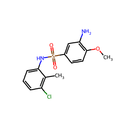 COc1ccc(S(=O)(=O)Nc2cccc(Cl)c2C)cc1N